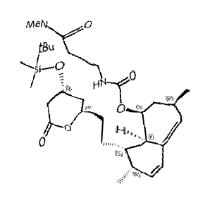 CNC(=O)CCNC(=O)O[C@H]1C[C@@H](C)C=C2C=C[C@H](C)[C@H](CC[C@@H]3C[C@@H](O[Si](C)(C)C(C)(C)C)CC(=O)O3)[C@H]21